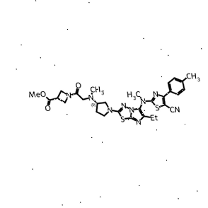 CCc1nc2sc(N3CC[C@@H](N(C)CC(=O)N4CC(C(=O)OC)C4)C3)nn2c1N(C)c1nc(-c2ccc(C)cc2)c(C#N)s1